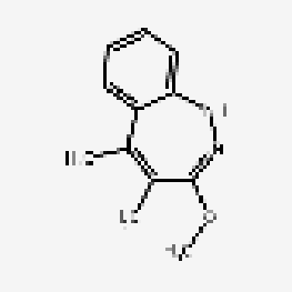 COC1=NNc2ccccc2C(C)=C1C